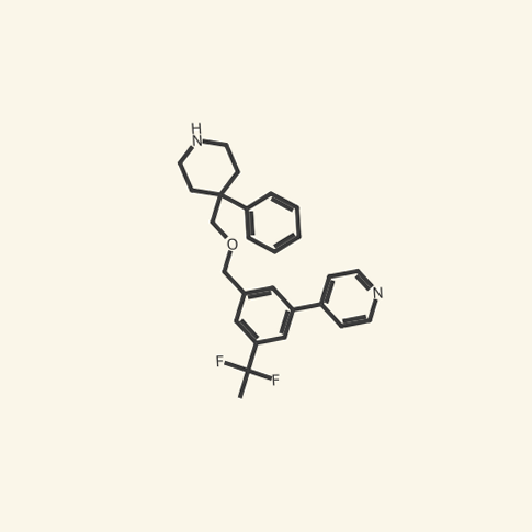 CC(F)(F)c1cc(COCC2(c3ccccc3)CCNCC2)cc(-c2ccncc2)c1